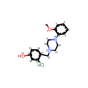 COc1ccccc1N1CCN(Cc2ccc(O)cc2Cl)CC1